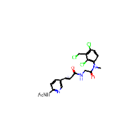 CC(=O)Nc1ccc(/C=C/C(=O)NCC(=O)N(C)c2ccc(Cl)c(CCl)c2Cl)cn1